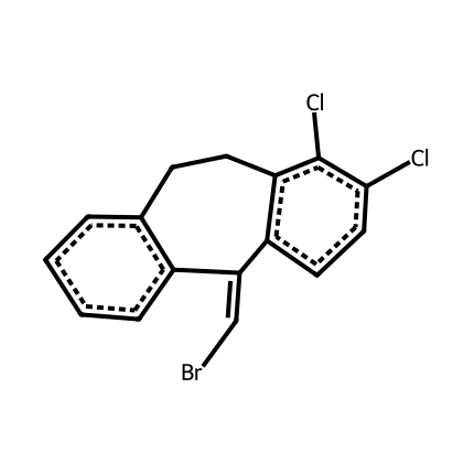 Clc1ccc2c(c1Cl)CCc1ccccc1C2=CBr